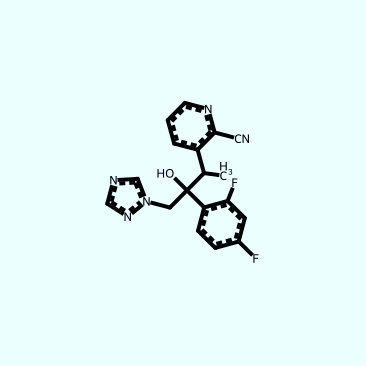 CC(c1cccnc1C#N)C(O)(Cn1cncn1)c1ccc(F)cc1F